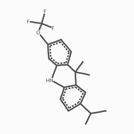 CC(C)c1ccc2c(c1)C(C)(C)c1ccc(OC(F)(F)F)cc1N2